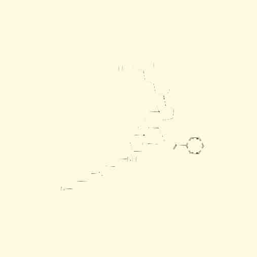 CC(CCC[C@@H](C)C1CCC2C3C(CCC21C)C1(C)CCC(NCCCNCCCCN)C[C@@H]1C[C@H]3OC(=O)c1ccccc1)C(=O)O